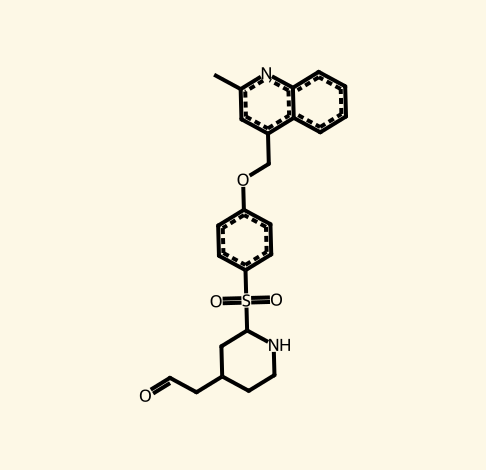 Cc1cc(COc2ccc(S(=O)(=O)C3CC(CC=O)CCN3)cc2)c2ccccc2n1